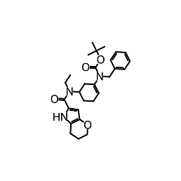 CCN(C(=O)c1cc2c([nH]1)CCCO2)C1CCC=C(N(Cc2ccccc2)C(=O)OC(C)(C)C)C1